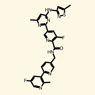 Cc1cc(Nc2cc(C)sn2)nc(-c2cnc(C(=O)NCc3ccc(-c4cc(F)cnc4C)nc3)c(F)c2)n1